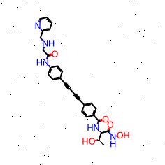 C[C@@H](O)[C@H](NC(=O)c1ccc(C#CC#Cc2ccc(NC(=O)CNCc3ccccn3)cc2)cc1)C(=O)NO